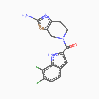 Nc1nc2c(s1)CN(C(=O)c1cc3ccc(Cl)c(F)c3[nH]1)CC2